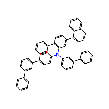 c1ccc(-c2cccc(-c3ccc(N(c4cccc(-c5ccccc5)c4)c4cc(-c5cccc6ccccc56)ccc4-c4ccccc4)cc3)c2)cc1